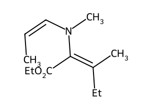 C/C=C\N(C)/C(C(=O)OCC)=C(\C)CC